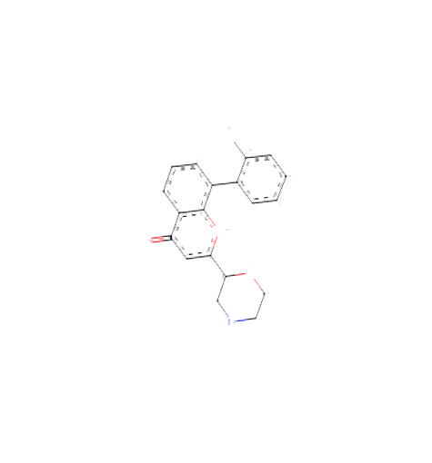 O=c1cc(C2CNCCO2)oc2c(-c3ccccc3C(F)(F)F)cccc12